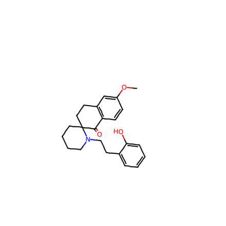 COc1ccc2c(c1)CCC1(CCCCN1CCc1ccccc1O)C2=O